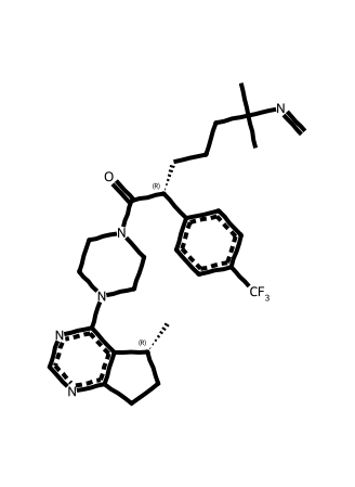 C=NC(C)(C)CCC[C@@H](C(=O)N1CCN(c2ncnc3c2[C@H](C)CC3)CC1)c1ccc(C(F)(F)F)cc1